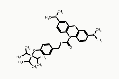 CC(C)[Si](Oc1ccc(COC(=O)N2c3ccc(N(C)C)cc3Sc3cc(N(C)C)ccc32)cc1)(C(C)C)C(C)C